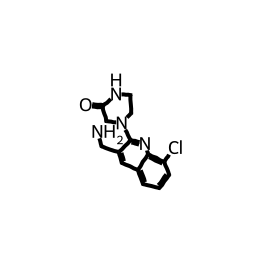 NCc1cc2cccc(Cl)c2nc1N1CCNC(=O)C1